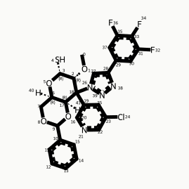 CO[C@H]1[C@@H](S)O[C@@H]2COC(c3ccccc3)O[C@@H]2C1(c1cncc(Cl)c1)n1cc(-c2cc(F)c(F)c(F)c2)nn1